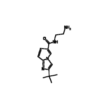 CC(C)(C)c1cn2cc(C(=O)NCCN)ccc2n1